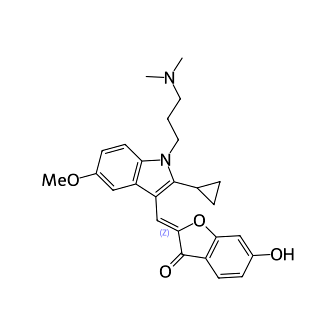 COc1ccc2c(c1)c(/C=C1\Oc3cc(O)ccc3C1=O)c(C1CC1)n2CCCN(C)C